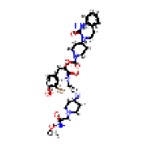 CONC(=O)CN1CCC(N=C=C=NC(=O)[C@@H](Cc2ccc(O)c(Br)c2)OC(=O)N2CCC(N3CCc4ccccc4NC3=O)CC2)CC1